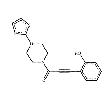 O=C(C#Cc1ccccc1O)N1CCN(c2nccs2)CC1